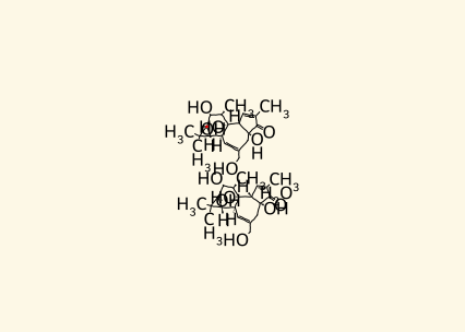 CC1=C[C@H]2[C@]3(O)[C@H](C)[C@@H](O)[C@@]4(O)[C@H]([C@@H]3C=C(CO)C[C@@]2(O)C1=O)C4(C)C.CC1=C[C@H]2[C@]3(O)[C@H](C)[C@@H](O)[C@@]4(O)[C@H]([C@@H]3C=C(CO)C[C@@]2(O)C1=O)C4(C)C.O